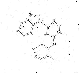 Fc1ccccc1Nc1nccc(-c2cnc3ccccn23)n1